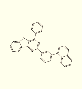 c1ccc(-c2nc(-c3cccc(-c4cccc5ccccc45)c3)nc3c2sc2ccccc23)cc1